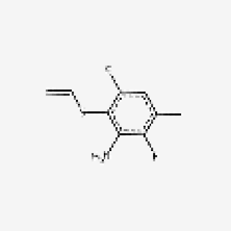 C=CSc1c(F)cc(C)c(F)c1N